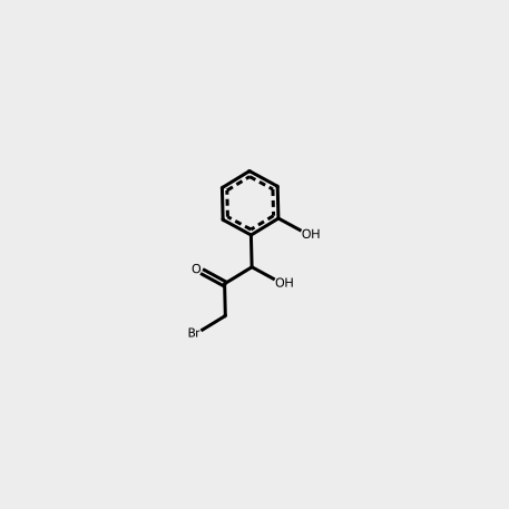 O=C(CBr)C(O)c1ccccc1O